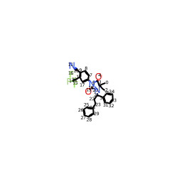 CC1(C)C(=O)N(c2ccc(C#N)c(C(F)(F)F)c2)C(=O)N1C(CCc1ccccc1)c1ccccc1